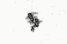 CCC(=O)[C@]1(O)Cc2c(O)c3c(c(O)c2[C@@H](O[C@H]2C[C@H](NC(=O)[C@@H]4CCCN4C(=O)[C@@H](C)NC(=O)c4ccncc4)[C@H](O)[C@H](C)O2)C1)C(=O)c1c(OC)cccc1C3=O